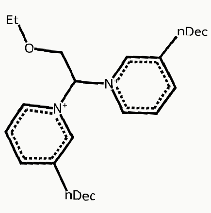 [CH2]COCC([n+]1cccc(CCCCCCCCCC)c1)[n+]1cccc(CCCCCCCCCC)c1